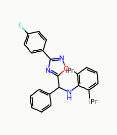 CC(C)c1cccc(C(C)C)c1NC(c1ccccc1)c1nc(-c2ccc(F)cc2)no1